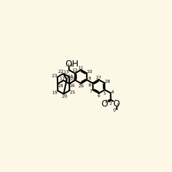 COC(=O)Cc1ccc(-c2ccc(CO)c(C34CC5CC(CC(C5)C3)C4)c2)cc1